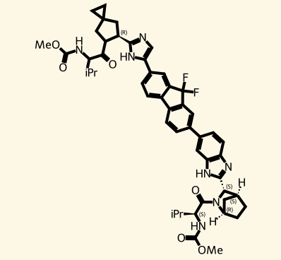 COC(=O)NC(C(=O)C1CC2(CC2)C[C@H]1c1ncc(-c2ccc3c(c2)C(F)(F)c2cc(-c4ccc5nc([C@@H]6[C@H]7CC[C@H](C7)N6C(=O)[C@@H](NC(=O)OC)C(C)C)[nH]c5c4)ccc2-3)[nH]1)C(C)C